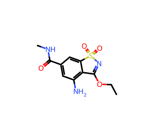 CCOC1=NS(=O)(=O)c2cc(C(=O)NC)cc(N)c21